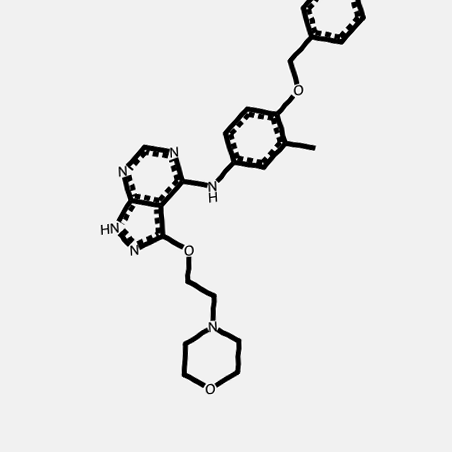 Cc1cc(Nc2ncnc3[nH]nc(OCCN4CCOCC4)c23)ccc1OCc1ccccc1